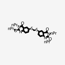 CCCOc1nc2ccc(SCSc3ccc4nc(OCCC)n(CCC)c(=O)c4c3)cc2c(=O)n1CCC